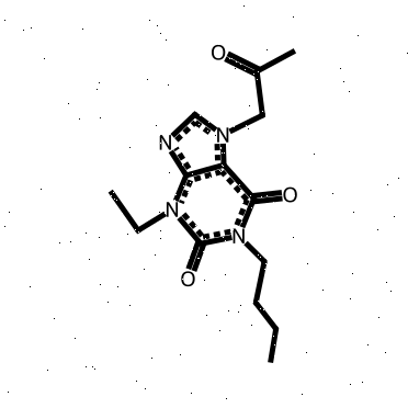 CCCCn1c(=O)c2c(ncn2CC(C)=O)n(CC)c1=O